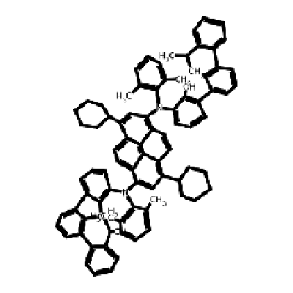 Cc1cccc(C)c1N(c1cccc(-c2cccc(-c3ccccc3C(C)C)c2)c1O)c1cc(C2CCCCC2)c2ccc3c(N(c4c(C)cccc4C)c4cccc5c4oc4c(-c6ccccc6C(C)C)cccc45)cc(C4CCCCC4)c4ccc1c2c43